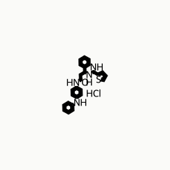 Cl.N=C(NC(CC(=O)Nc1ccc(Nc2ccccc2)cc1)c1ccccc1)c1cccs1